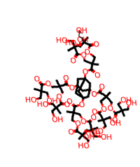 CC(CO)(CO)C(=O)OCC(C)(COC(=O)C(C)(CO)CO)C(=O)OC12CC3(OC(=O)C(C)(COC(=O)C(C)(CO)CO)COC(=O)C(C)(CO)CO)CC(OC(=O)C(C)(COC(=O)C(C)(CO)CO)COC(=O)C(C)(CO)CO)(C1)CC(OC(=O)C(C)(COC(=O)C(C)(CO)CO)COC(=O)C(C)(CO)CO)(C2)C3